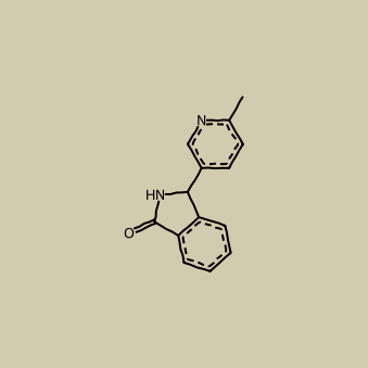 Cc1ccc(C2NC(=O)c3ccccc32)cn1